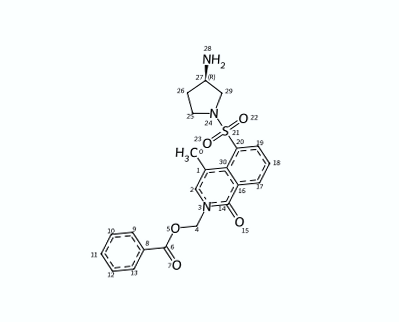 Cc1cn(COC(=O)c2ccccc2)c(=O)c2cccc(S(=O)(=O)N3CC[C@@H](N)C3)c12